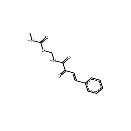 CNC(=O)OCNC(=O)C(=O)/C=C/c1ccccc1